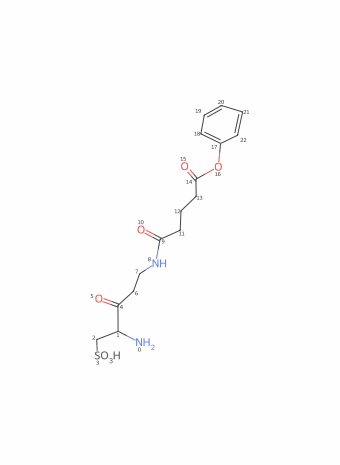 NC(CS(=O)(=O)O)C(=O)CCNC(=O)CCCC(=O)Oc1ccccc1